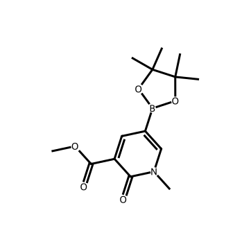 COC(=O)c1cc(B2OC(C)(C)C(C)(C)O2)cn(C)c1=O